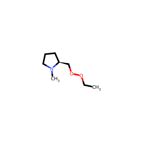 CCOOC[C@@H]1CCCN1C